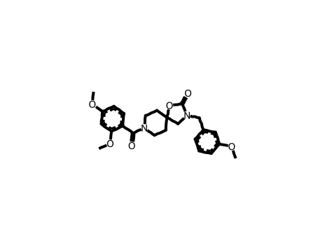 COc1cccc(CN2CC3(CCN(C(=O)c4ccc(OC)cc4OC)CC3)OC2=O)c1